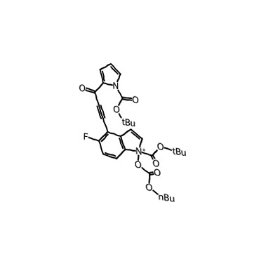 CCCCOC(=O)O[N+]1(C(=O)OC(C)(C)C)C=Cc2c1ccc(F)c2C#CC(=O)c1cccn1C(=O)OC(C)(C)C